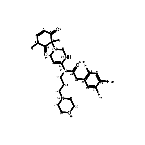 CC1C=CC(=O)C(C)(N2CC=C(N(CCCN3CCOCC3)C(=O)Cc3cc(F)c(F)cc3F)NC2)C1=O